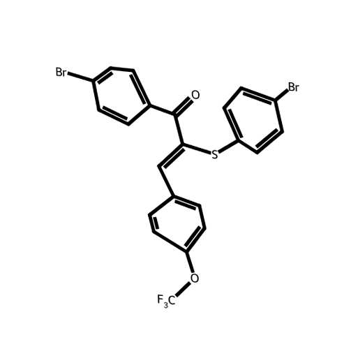 O=C(C(=Cc1ccc(OC(F)(F)F)cc1)Sc1ccc(Br)cc1)c1ccc(Br)cc1